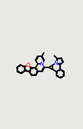 CC1=CN2C(C3C4c5ccccc5-c5ccc(C)n5C34)=Cc3ccc4c(oc5ccccc54)c3C2C=C1